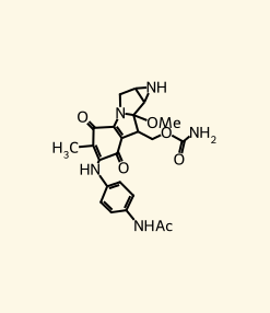 COC12C(COC(N)=O)C3=C(C(=O)C(C)=C(Nc4ccc(NC(C)=O)cc4)C3=O)N1CC1NC12